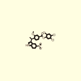 COc1cc(C(=O)Oc2cc(Cl)c(Cl)cc2Cl)ccc1C(C)c1c[nH]c2ccc([N+](=O)[O-])cc12